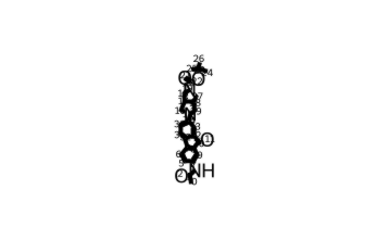 CC(=O)Nc1ccc2c(c1)C(=O)c1cc(N3CC4CN(C(=O)OC(C)(C)C)CC4C3)ccc1-2